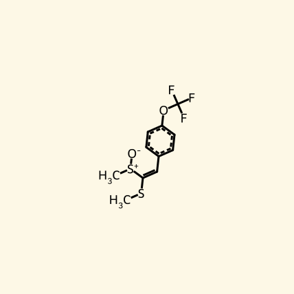 CSC(=Cc1ccc(OC(F)(F)F)cc1)[S+](C)[O-]